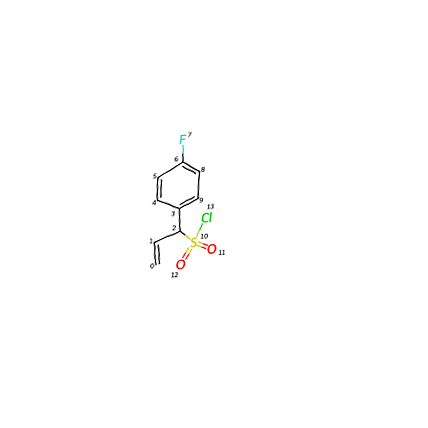 C=CC(c1ccc(F)cc1)S(=O)(=O)Cl